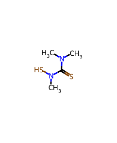 CN(C)C(=S)N(C)S